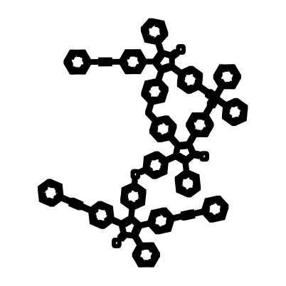 O=C1C(c2ccccc2)=C(c2ccc(C#Cc3ccccc3)cc2)C(c2ccc(Cc3ccc(C4=C(c5ccc(C#Cc6ccccc6)cc5)C(=O)C(c5ccccc5)=C4c4ccc(Oc5ccc(C6=C(c7ccc(C#Cc8ccccc8)cc7)C(=O)C(c7ccccc7)=C6c6ccc(C#Cc7ccccc7)cc6)cc5)cc4)cc3)cc2)=C1c1ccc(C#Cc2ccccc2)cc1